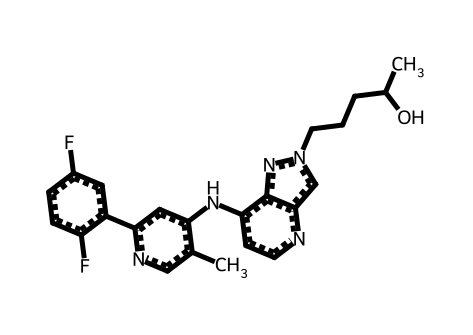 Cc1cnc(-c2cc(F)ccc2F)cc1Nc1ccnc2cn(CCCC(C)O)nc12